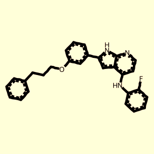 Fc1ccccc1Nc1ccnc2[nH]c(-c3cccc(OCCCc4ccccc4)c3)cc12